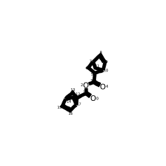 O=C(OC(=O)C1CC2C=CC1C2)C1CC2C=CC1C2